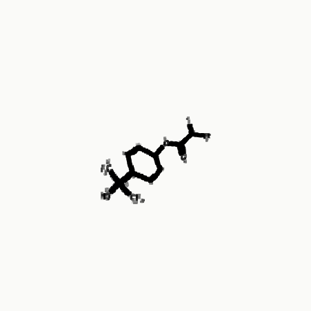 CCC(I)C(=O)OC1CCC(C(O)(C(F)(F)F)C(F)(F)F)CC1